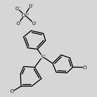 Clc1ccc([S+](c2ccccc2)c2ccc(Cl)cc2)cc1.[O-][Cl+3]([O-])([O-])[O-]